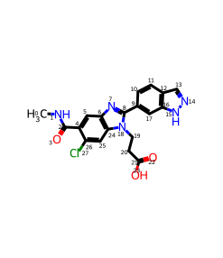 CNC(=O)c1cc2nc(-c3ccc4cn[nH]c4c3)n(CCC(=O)O)c2cc1Cl